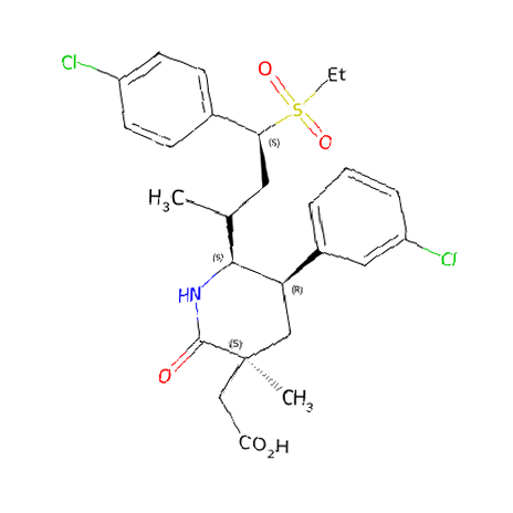 CCS(=O)(=O)[C@@H](CC(C)[C@@H]1NC(=O)[C@](C)(CC(=O)O)C[C@@H]1c1cccc(Cl)c1)c1ccc(Cl)cc1